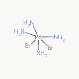 [NH2][Pd]([NH2])([NH2])([NH2])([Br])[Br]